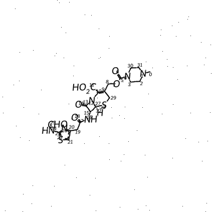 CN1CCN(C(=O)OCC2=C(C(=O)O)N3C(=O)C(NC(=O)Cc4csc(NC=O)n4)[C@@H]3SC2)CC1